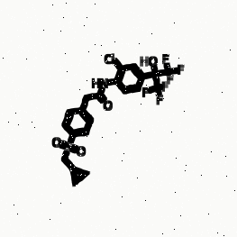 O=C(Cc1ccc(S(=O)(=O)CC2CC2)cc1)Nc1ccc(C(O)(C(F)(F)F)C(F)(F)F)cc1Cl